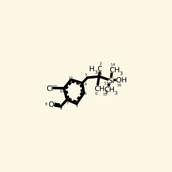 CC(C)(Cc1ccc(C=O)c(Cl)c1)[Si](C)(C)O